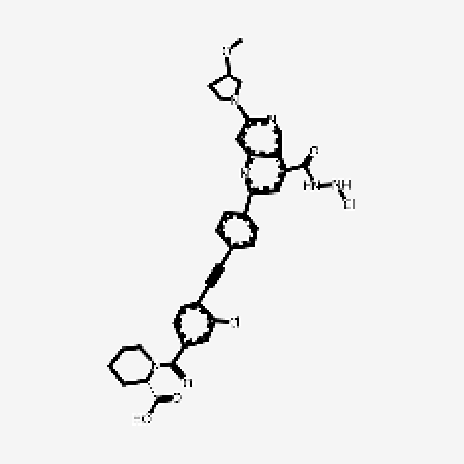 COC1CCN(c2cc3nc(-c4ccc(C#Cc5ccc(C(=O)N6CCCC[C@H]6C(=O)O)cc5Cl)cc4)cc(C(=O)NNCl)c3cn2)C1